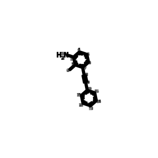 Cc1c(N)cccc1C#Cc1ccccc1